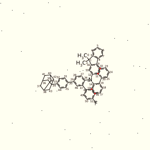 CC1(C)c2ccccc2-c2ccc(N(c3ccccc3-c3ccccc3)c3ccc(-c4ccc(C56CC7CC(CC(C7)C5)C6)cc4)cc3-c3ccc(F)cc3)cc21